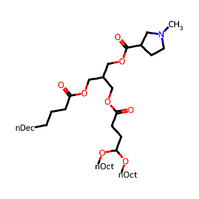 CCCCCCCCCCCCCC(=O)OCC(COC(=O)CCC(OCCCCCCCC)OCCCCCCCC)COC(=O)C1CCN(C)C1